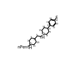 CCCCC[SiH]1CCC(CC[SiH]2CCC(c3ccc(F)cc3)CC2)CC1